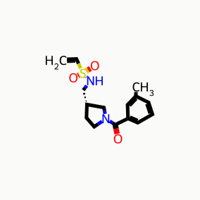 C=CS(=O)(=O)NC[C@H]1CCN(C(=O)c2cccc(C)c2)C1